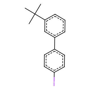 CC(C)(C)c1cccc(-c2ccc(I)cc2)c1